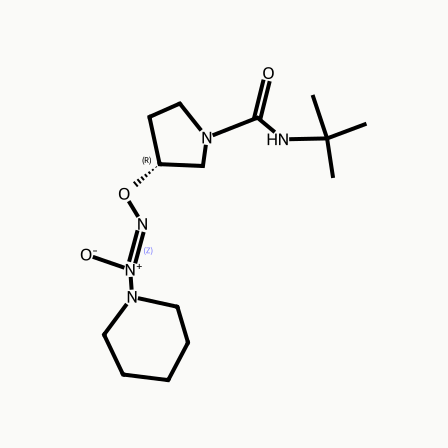 CC(C)(C)NC(=O)N1CC[C@@H](O/N=[N+](\[O-])N2CCCCC2)C1